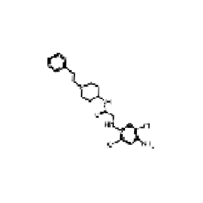 Nc1cc(Cl)c(NCC(=O)NC2CCN(CCc3ccccc3)CC2)cc1Cl